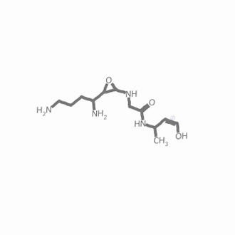 CC(/C=C\O)NC(=O)CNC1OC1C(N)CCCN